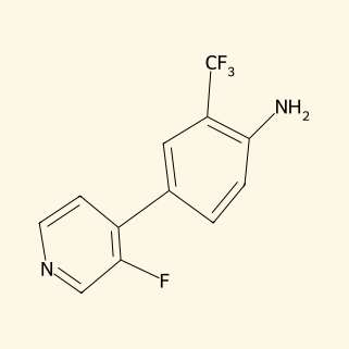 Nc1ccc(-c2ccncc2F)cc1C(F)(F)F